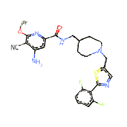 CC(C)Oc1nc(C(=O)NCC2CCN(Cc3cnc(-c4c(F)cccc4F)s3)CC2)cc(N)c1C#N